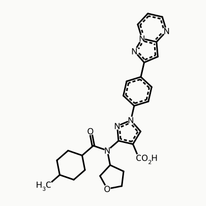 CC1CCC(C(=O)N(c2nn(-c3ccc(-c4cc5ncccn5n4)cc3)cc2C(=O)O)C2CCOC2)CC1